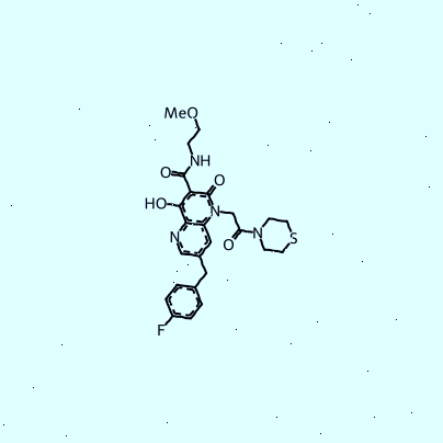 COCCNC(=O)c1c(O)c2ncc(Cc3ccc(F)cc3)cc2n(CC(=O)N2CCSCC2)c1=O